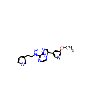 COc1cncc(-c2cnc3c(NCCc4cccnc4)nccn23)c1